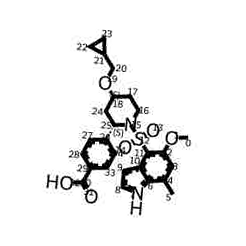 COc1cc(C)c2[nH]ccc2c1S(=O)(=O)N1CC[C@H](OCC2CC2)C[C@H]1c1ccc(C(=O)O)cc1